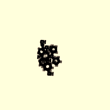 C#C[C@]1(O)CC[C@H]2[C@@H]3CCc4cc(O)ccc4[C@H]3CC[C@@]21C.C1CCC(OC2CCCC2)C1